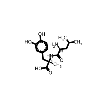 CC(C)C[C@H](N)C(=O)N[C@@](C)(Cc1ccc(O)c(O)c1)C(=O)O